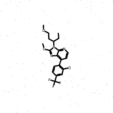 CCC(CCOC)n1c(OC)nc2c(-c3ccc(C(F)(F)F)cc3Cl)ccnc21